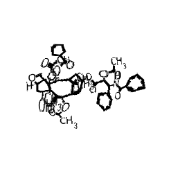 CC(=O)O[C@H]1C(=O)[C@@]2(C)[C@H]([C@H](OC(=O)C3C=CC=CC3)C3CC(OC(=O)[C@H](OC(C)=O)[C@@H](NC(=O)c4ccccc4)c4ccccc4)C=C1C3(C)C)[C@]1(OC(C)=O)CO[C@@H]1C[C@@H]2O